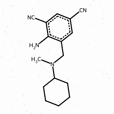 CN(Cc1cc(C#N)cc(C#N)c1N)C1CCCCC1